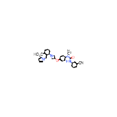 CN(C(=O)Nc1cccc(C#N)c1)c1ccc(OC2CN(c3cccc(C(=O)O)c3Cn3cccc3)C2)cc1